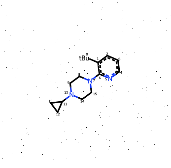 CC(C)(C)c1cccnc1N1CCN(C2CC2)CC1